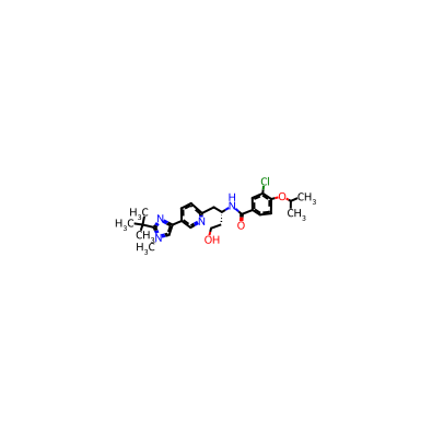 CC(C)Oc1ccc(C(=O)N[C@H](CCO)Cc2ccc(-c3cn(C)c(C(C)(C)C)n3)cn2)cc1Cl